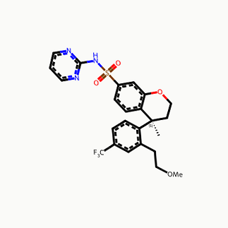 COCCc1cc(C(F)(F)F)ccc1[C@]1(C)CCOc2cc(S(=O)(=O)Nc3ncccn3)ccc21